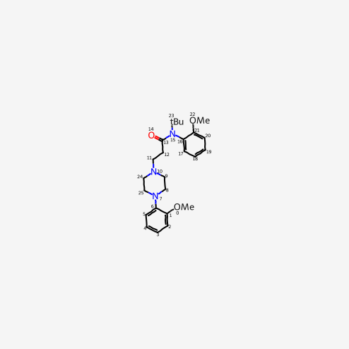 COc1ccccc1N1CCN(CCC(=O)N(c2ccccc2OC)C(C)(C)C)CC1